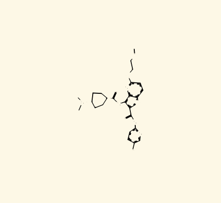 COCCOc1ccc2oc(C(=O)Nc3ccc(Cl)cn3)c(NC(=O)[C@H]3CC[C@H](N(C)C)CC3)c2n1